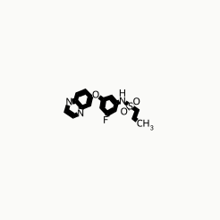 CCCS(=O)(=O)Nc1cc(F)cc(Oc2ccc3nccnc3c2)c1